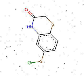 O=C1CSc2ccc(SCl)cc2N1